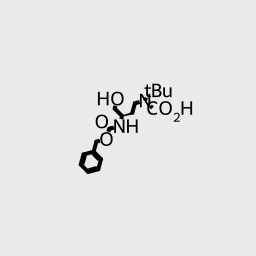 CC(C)(C)N(CC[C@H](CO)NC(=O)OCc1ccccc1)C(=O)O